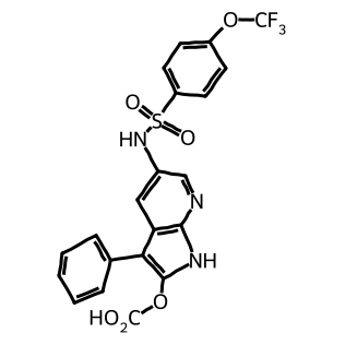 O=C(O)Oc1[nH]c2ncc(NS(=O)(=O)c3ccc(OC(F)(F)F)cc3)cc2c1-c1ccccc1